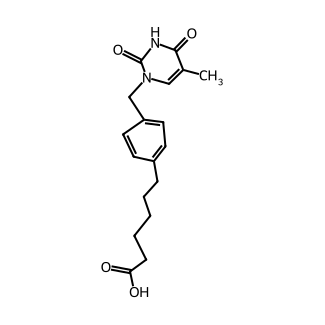 Cc1cn(Cc2ccc(CCCCCC(=O)O)cc2)c(=O)[nH]c1=O